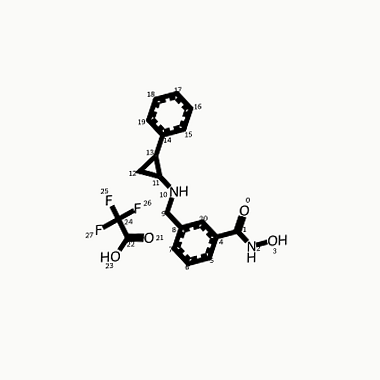 O=C(NO)c1cccc(CNC2CC2c2ccccc2)c1.O=C(O)C(F)(F)F